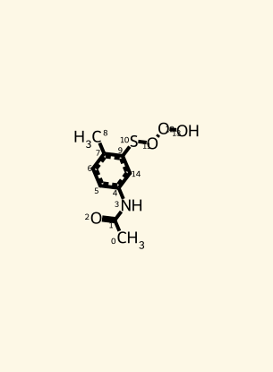 CC(=O)Nc1ccc(C)c(SOOO)c1